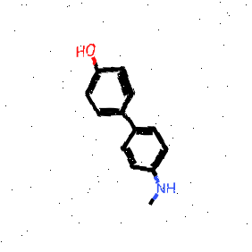 CNc1ccc(-c2ccc(O)cc2)cc1